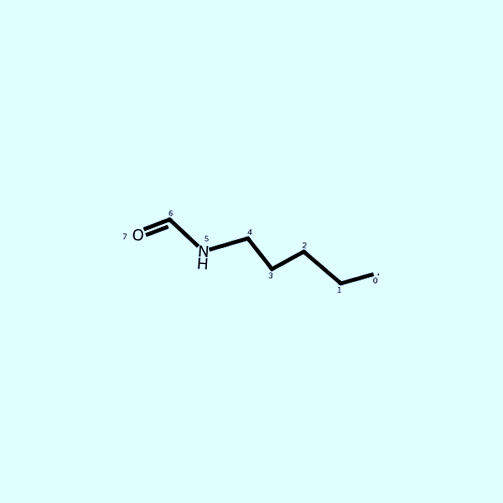 [CH2]CCCCNC=O